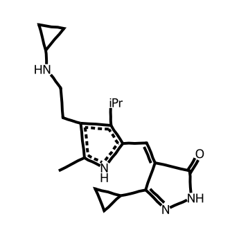 Cc1[nH]c(C=C2C(=O)NN=C2C2CC2)c(C(C)C)c1CCNC1CC1